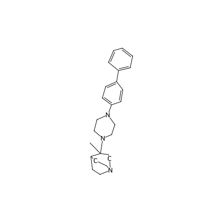 CC1(N2CCN(c3ccc(-c4ccccc4)cc3)CC2)CCN2CCC1CC2